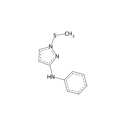 CSn1ccc(Nc2ccccc2)n1